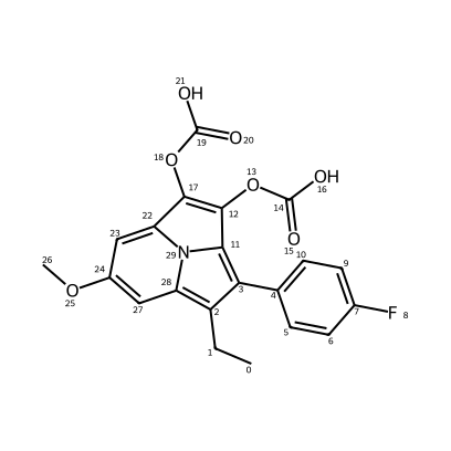 CCc1c(-c2ccc(F)cc2)c2c(OC(=O)O)c(OC(=O)O)c3cc(OC)cc1n32